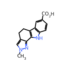 Cn1cc2c(n1)-c1[nH]c3ccc(C(=O)O)cc3c1CC2